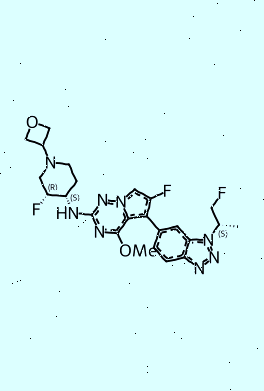 COc1nc(N[C@H]2CCN(C3COC3)C[C@H]2F)nn2cc(F)c(-c3ccc4nnn([C@@H](C)CF)c4c3)c12